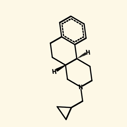 c1ccc2c(c1)CC[C@H]1CN(CC3CC3)CC[C@H]21